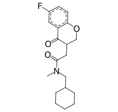 CN(CC1CCCCC1)C(=O)CC1COc2ccc(F)cc2C1=O